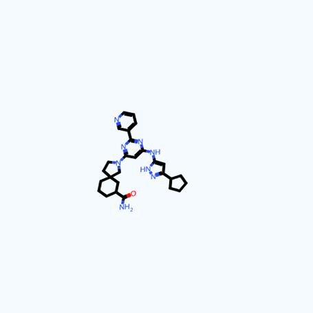 NC(=O)C1CCCC2(CCN(c3cc(Nc4cc(C5CCCC5)n[nH]4)nc(-c4cccnc4)n3)C2)C1